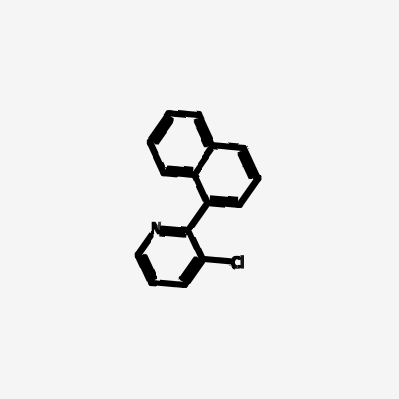 Clc1cccnc1-c1cccc2ccccc12